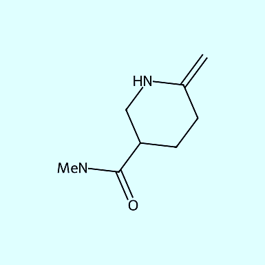 C=C1CCC(C(=O)NC)CN1